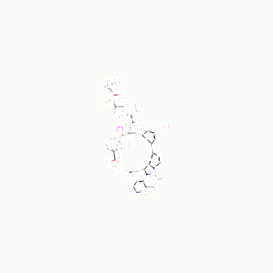 CCn1c(-c2cccnc2C(C)C)c2c3cc(ccc31)-c1cc(O)cc(c1)C[C@H](NC(=O)[C@H](C(C)C)N1CC[C@@H](NC(=O)[C@H]3CN3)C1=O)C(=O)N1CCC[C@H](N1)C(=O)OCC(C)(C)C2